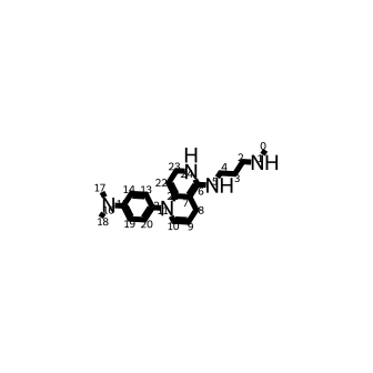 CNCCCNC1=C2CC=CN(c3ccc(N(C)C)cc3)C2=CCN1